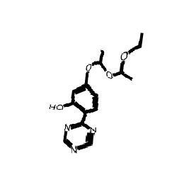 CCOC(C)OC(C)Oc1ccc(-c2ncncn2)c(O)c1